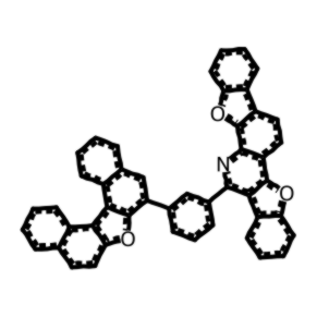 c1cc(-c2cc3ccccc3c3c2oc2ccc4ccccc4c23)cc(-c2nc3c(ccc4c5ccccc5oc43)c3oc4ccccc4c23)c1